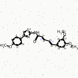 COc1ccc(-c2csc(NC(=O)/C=C/C=C/c3ccc(OC)c(OC)c3)n2)cc1